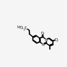 Cc1cc(Cl)cn2c(=O)c3cc(CCC(=O)O)ccc3nc12